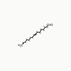 C=CCCCCC/C=C/CCCCCCC=O